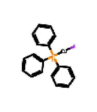 [I][Cu][PH](c1ccccc1)(c1ccccc1)c1ccccc1